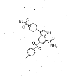 CCS(=O)(=O)N1CCC(c2c[nH]c3c(C(N)=O)cc(S(=O)(=O)c4ccc(C)cc4)cc23)CC1